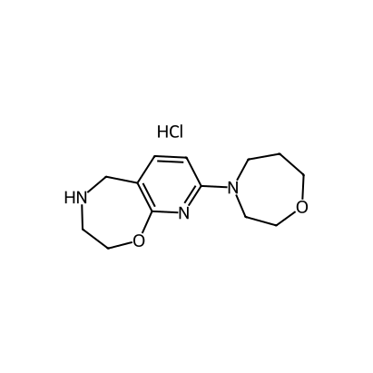 Cl.c1cc2c(nc1N1CCCOCC1)OCCNC2